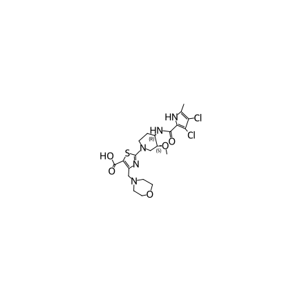 CO[C@H]1CN(c2nc(CN3CCOCC3)c(C(=O)O)s2)CC[C@H]1NC(=O)c1[nH]c(C)c(Cl)c1Cl